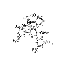 COc1c(-c2cc(C(F)(F)F)cc(C(F)(F)F)c2)cc(-c2cc(C(F)(F)F)cc(C(F)(F)F)c2)c(OC)c1-c1cccc2c1P[C@H](C)CO2